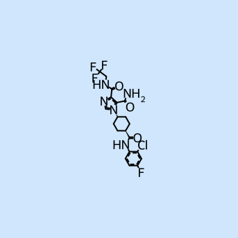 NC(=O)c1c(C(=O)NCC(F)(F)F)ncn1[C@H]1CC[C@H](C(=O)Nc2ccc(F)cc2Cl)CC1